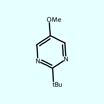 COc1cnc(C(C)(C)C)nc1